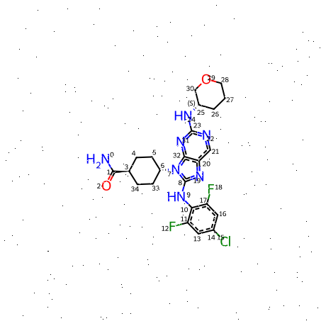 NC(=O)[C@H]1CC[C@H](n2c(Nc3c(F)cc(Cl)cc3F)nc3cnc(N[C@H]4CCCOC4)nc32)CC1